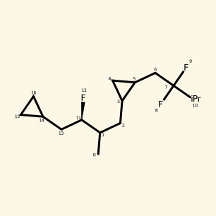 CC(CC1CC1CC(F)(F)C(C)C)[C@H](F)CC1CC1